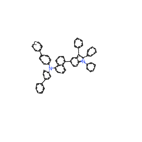 c1ccc(-c2ccc(N(c3ccc(-c4ccccc4)cc3)c3cccc4c(-c5ccc6c(c5)c(-c5ccccc5)c(-c5ccccc5)n6-c5ccccc5)cccc34)cc2)cc1